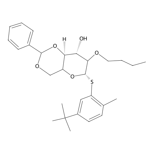 CCCCOC1[C@@H](O)[C@@H]2OC(c3ccccc3)OCC2O[C@H]1Sc1cc(C(C)(C)C)ccc1C